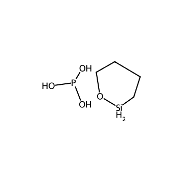 C1CC[SiH2]OC1.OP(O)O